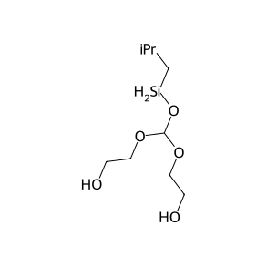 CC(C)C[SiH2]OC(OCCO)OCCO